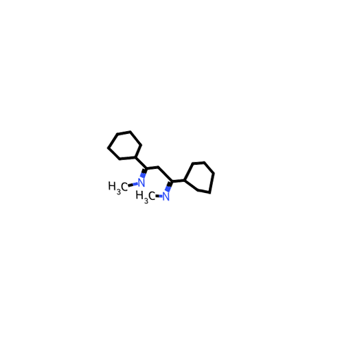 CN=C(CC(=NC)C1CCCCC1)C1CCCCC1